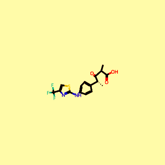 CC(C(=O)O)C(=O)[C@H](C)c1ccc(Nc2nc(C(F)(F)F)cs2)cc1